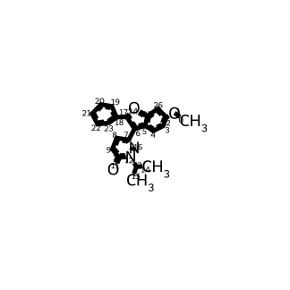 COc1ccc2c(-c3ccc(=O)n(C(C)C)n3)c(-c3ccccc3)oc2c1